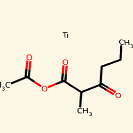 CCCC(=O)C(C)C(=O)OC(C)=O.[Ti]